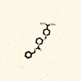 COC(OC)C1CCN(C[C@H]2CCCN(C(=O)OCc3ccccc3)C2)CC1